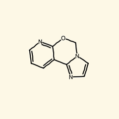 c1cnc2c(c1)-c1nccn1CO2